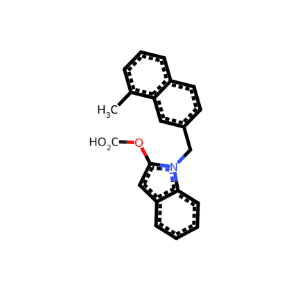 Cc1cccc2ccc(Cn3c(OC(=O)O)cc4ccccc43)cc12